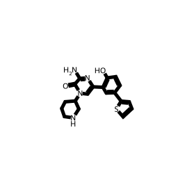 Nc1nc(-c2cc(-c3cccs3)ccc2O)cn(C2CCCNC2)c1=O